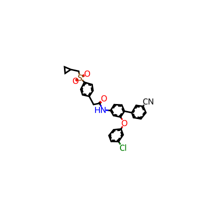 N#Cc1cccc(-c2ccc(NC(=O)Cc3ccc(S(=O)(=O)CC4CC4)cc3)cc2Oc2cccc(Cl)c2)c1